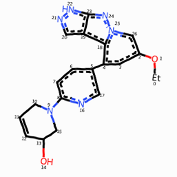 CCOc1cc(-c2ccc(N3CC=CC(O)C3)nc2)c2c3cn[nH]c3nn2c1